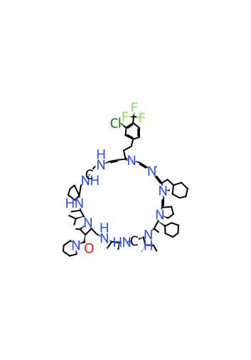 CC[C@H](C)[C@H]1CN[C@@H](C)C(C)NCC2[C@@H](C(=O)N3CCCCC3)C(C)N2[C@@H](C(C)C)C(C)NC2(CCCC2)CNCCNC=CC(CCc2ccc(C(F)(F)F)c(Cl)c2)=NC=CN(C)C=C(CC2CCCCC2)N(C)C=C2CCCN2[C@@H](C2CCCCC2)C(C)N1